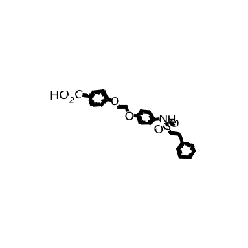 O=C(O)c1ccc(OCCOc2ccc(NS(=O)(=O)/C=C/c3ccccc3)cc2)cc1